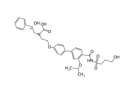 CC(C)Oc1cc(-c2ccc(OCCN(C[C@@H](O)c3ccccc3)C(=O)O)cc2)ccc1C(=O)NS(=O)(=O)CCCO